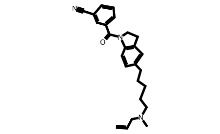 C=CCN(C)CCCCCc1ccc2c(c1)CCN2C(=O)c1cccc(C#N)c1